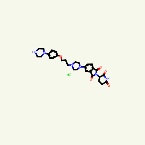 Cl.O=C1CCC(N2C(=O)c3ccc(N4CCN(CCCOc5ccc(N6CCNCC6)cc5)CC4)cc3C2=O)C(=O)N1